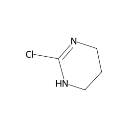 ClC1=NCCCN1